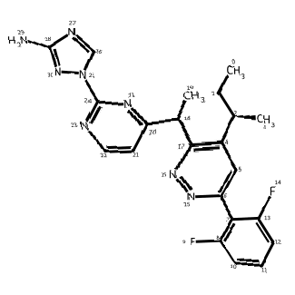 CC[C@@H](C)c1cc(-c2c(F)cccc2F)nnc1C(C)c1ccnc(-n2cnc(N)n2)n1